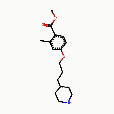 COC(=O)c1ccc(OCCCC2CCNCC2)cc1C